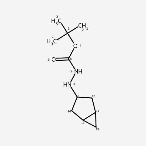 CC(C)(C)OC(=O)NNC1CC2CC2C1